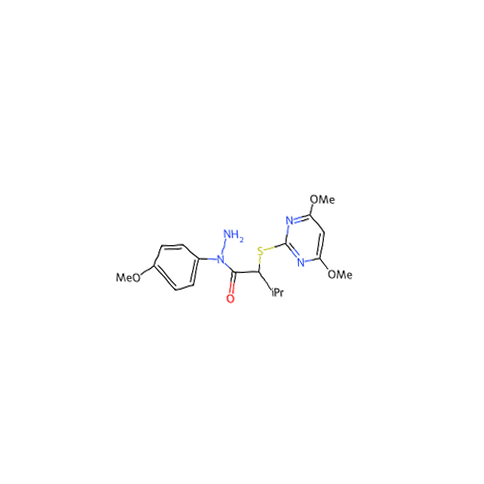 COc1ccc(N(N)C(=O)C(Sc2nc(OC)cc(OC)n2)C(C)C)cc1